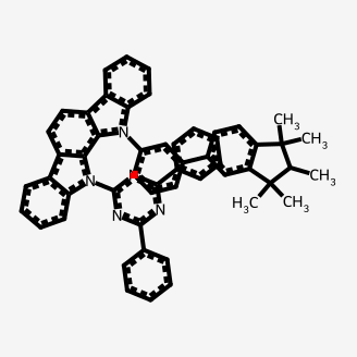 CC1C(C)(C)c2ccc(-c3cccc(-n4c5ccccc5c5ccc6c7ccccc7n(-c7nc(-c8ccccc8)nc(-c8ccccc8)n7)c6c54)c3)cc2C1(C)C